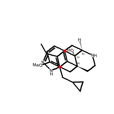 COc1ccc2c(c1CC1CC1)[C@]13CCN[C@H](C2)[C@]1(O)Cc1c(C)n[nH]c1C3